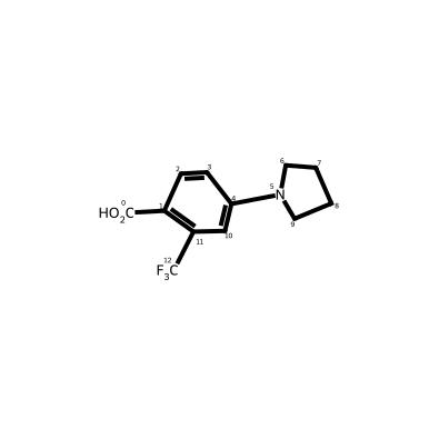 O=C(O)c1ccc(N2CCCC2)cc1C(F)(F)F